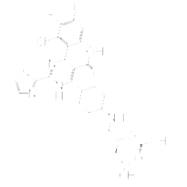 COC[C@@H](CNC1CCC(C2=C(C(=O)O)C(c3ccc(F)c(F)c3Cl)N=C(c3nccs3)N2)CC1)OC(C)=O